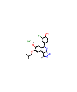 COc1cc2c(-c3ccc(O)c(Cl)c3)nc3[nH]nc(C)c3c2cc1OCC(C)C.Cl